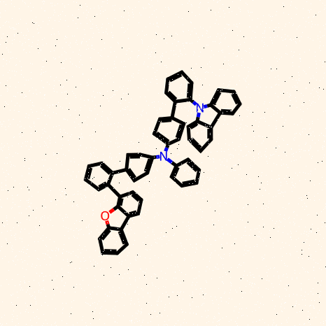 c1ccc(N(c2ccc(-c3ccccc3-c3cccc4c3oc3ccccc34)cc2)c2ccc(-c3ccccc3-n3c4ccccc4c4ccccc43)cc2)cc1